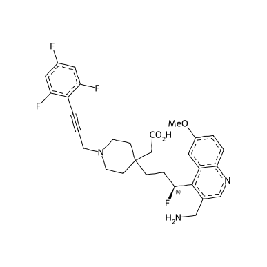 COc1ccc2ncc(CN)c([C@@H](F)CCC3(CC(=O)O)CCN(CC#Cc4c(F)cc(F)cc4F)CC3)c2c1